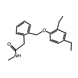 CCc1ccc(OCc2ccccc2CC(=O)NC)c(CC)c1